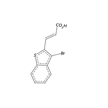 O=C(O)/C=C/c1sc2ccccc2c1Br